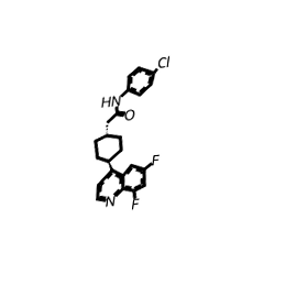 O=C(C[C@H]1CC[C@H](c2ccnc3c(F)cc(F)cc32)CC1)Nc1ccc(Cl)cc1